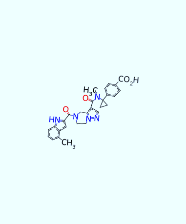 Cc1cccc2[nH]c(C(=O)N3CCn4ncc(C(=O)N(C)C5(c6ccc(C(=O)O)cc6)CC5)c4C3)cc12